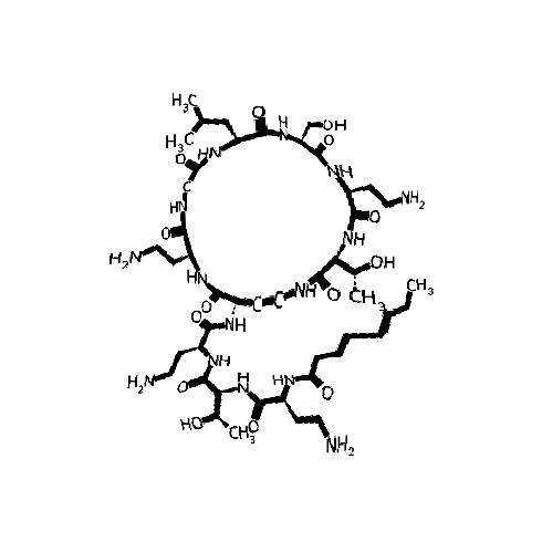 CCCCCCCC(=O)N[C@@H](CCN)C(=O)N[C@H](C(=O)N[C@@H](CCN)C(=O)N[C@H]1CCNC(=O)[C@H]([C@@H](C)O)NC(=O)[C@H](CCN)NC(=O)[C@H](CO)NC(=O)[C@H](CC(C)C)NC(=O)CNC(=O)[C@H](CCN)NC1=O)[C@@H](C)O